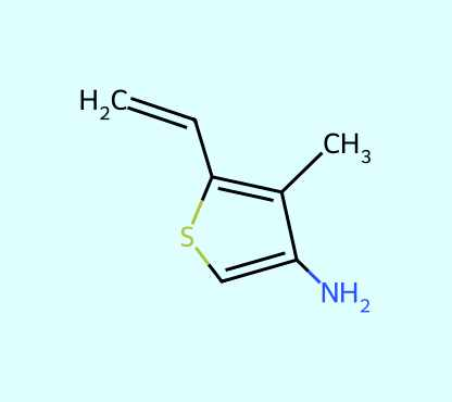 C=Cc1scc(N)c1C